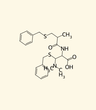 CC(CSCc1ccccc1)C(=O)NC(C(=O)O)C(SCc1ccccc1)N(C)C